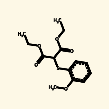 CCOC(=O)C(Sc1ccccc1OC)C(=O)OCC